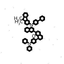 CC1(C)c2ccccc2-c2cc(N(c3ccc(-c4ccccc4)cc3)c3cc(-c4ccc5cccc6c5c4Oc4cc(N(c5ccccc5)c5ccccc5)ccc4-6)cc4ccccc34)ccc21